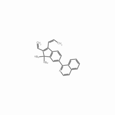 C=CC1=C(/C=C\C)c2ccc(-c3nccc4ccccc34)cc2C1(CCCC)CCCC